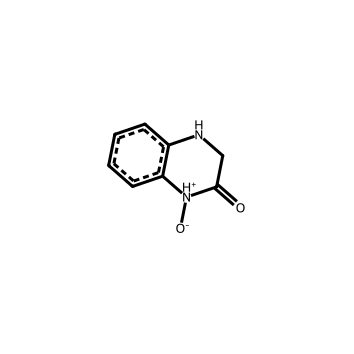 O=C1CNc2ccccc2[NH+]1[O-]